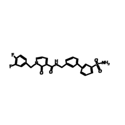 NS(=O)(=O)c1cccc(-c2cccc(CNC(=O)c3cccn(Cc4ccc(F)c(F)c4)c3=O)c2)c1